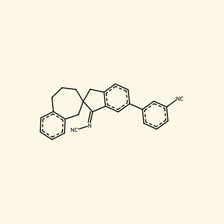 [C-]#[N+]c1cccc(-c2ccc3c(c2)/C(=N/C#N)C2(CCCc4ccccc4C2)C3)c1